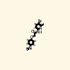 Cc1nc(NC(=O)COc2ccc(N=O)cc2)ccc1Br